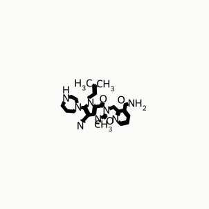 CC(C)=CCn1c(N2CCCNCC2)c(C#N)c2c1c(=O)n(Cc1ncccc1C(N)=O)c(=O)n2C